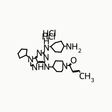 C/C=C/C(=O)N1CCC(Nc2nc(N[C@H]3CC[C@H](N)CC3)nc3c2ncn3C2CCCC2)CC1.Cl.Cl